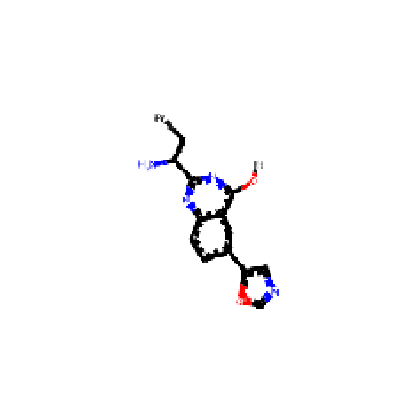 CCOc1nc(C(N)CC(C)C)nc2ccc(-c3cnco3)cc12